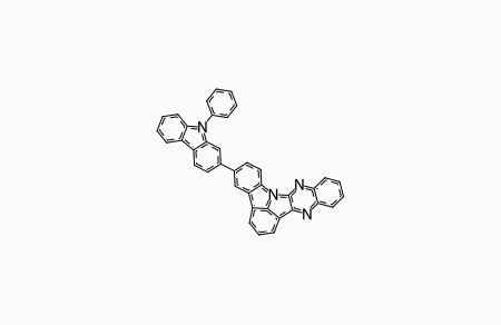 c1ccc(-n2c3ccccc3c3ccc(-c4ccc5c(c4)c4cccc6c7nc8ccccc8nc7n5c46)cc32)cc1